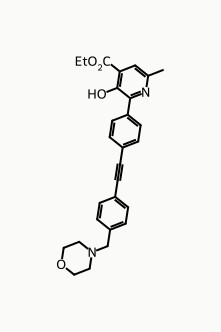 CCOC(=O)c1cc(C)nc(-c2ccc(C#Cc3ccc(CN4CCOCC4)cc3)cc2)c1O